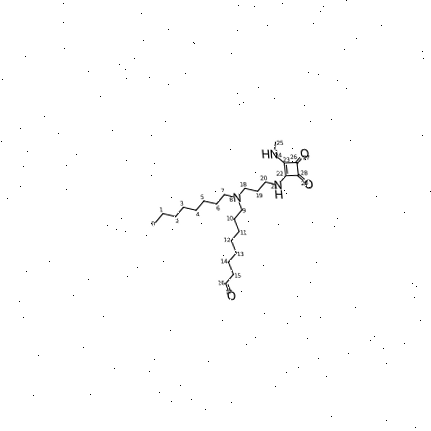 CCCCCCCCN(CCCCCCCC=O)CCCNc1c(NC)c(=O)c1=O